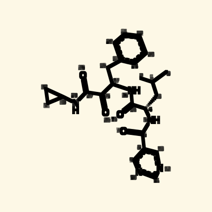 CC(C)C[C@H](NC(=O)c1cncnc1)C(=O)NC(Cc1ccccc1)C(=O)C(=O)NC1CC1